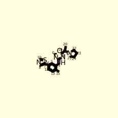 C=N/C(=C\c1cc(-c2cncs2)ccc1C)NC(=O)C(C)N1CCCC1